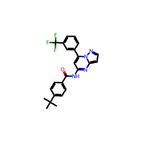 CC(C)(C)c1ccc(C(=O)Nc2cc(-c3cccc(C(F)(F)F)c3)n3nccc3n2)cc1